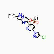 CCS(=O)(=O)c1cc(-n2cc(Cl)cn2)cnc1-c1ccn2nc(C(F)(F)F)cc2n1